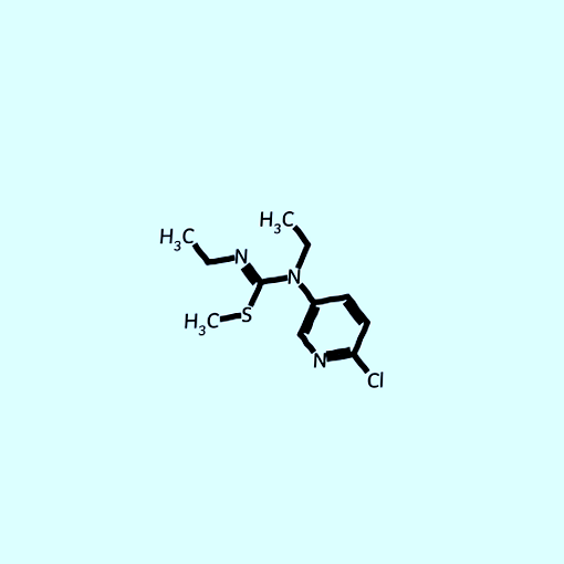 CC/N=C(\SC)N(CC)c1ccc(Cl)nc1